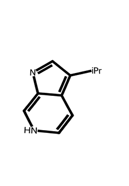 CC(C)c1cnc2c[nH]ccc1-2